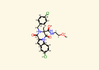 COCCNC(=O)C1(C)C(=O)n2c(cc3cc(Cl)ccc32)C(=O)N1Cc1ccc(Cl)cc1